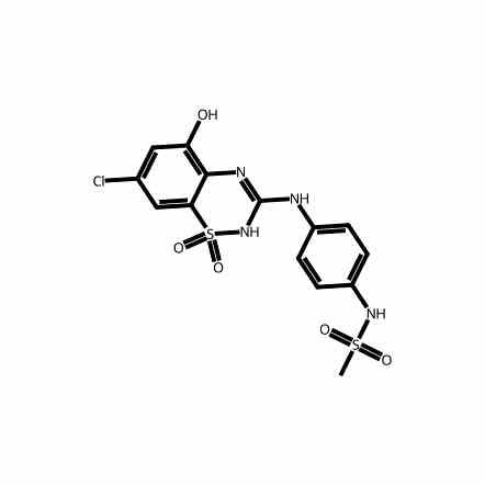 CS(=O)(=O)Nc1ccc(NC2=Nc3c(O)cc(Cl)cc3S(=O)(=O)N2)cc1